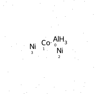 [AlH3].[Co].[Ni].[Ni]